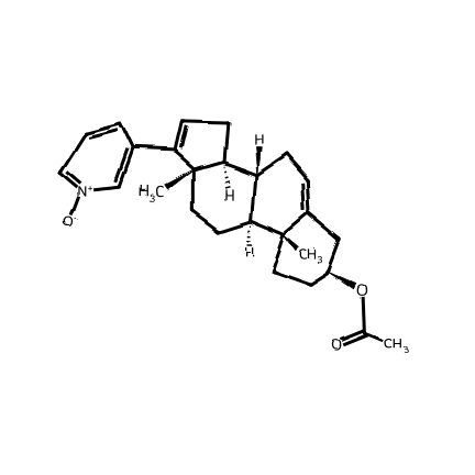 CC(=O)O[C@H]1CC[C@@]2(C)C(=CC[C@@H]3[C@@H]2CC[C@]2(C)C(c4ccc[n+]([O-])c4)=CC[C@@H]32)C1